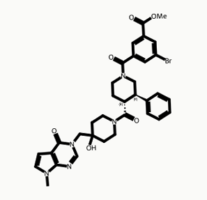 COC(=O)c1cc(Br)cc(C(=O)N2CC[C@@H](C(=O)N3CCC(O)(Cn4cnc5c(ccn5C)c4=O)CC3)[C@H](c3ccccc3)C2)c1